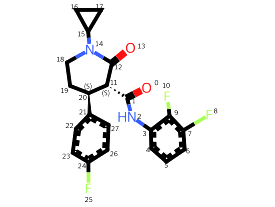 O=C(Nc1cccc(F)c1F)[C@H]1C(=O)N(C2CC2)CC[C@@H]1c1ccc(F)cc1